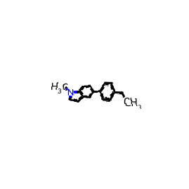 CCc1ccc(-c2ccc3c(ccn3C)c2)cc1